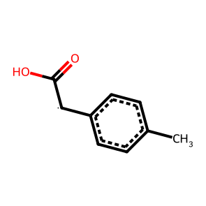 Cc1ccc([CH]C(=O)O)cc1